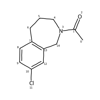 CC(=O)N1CCCc2ccc(Cl)cc2C1